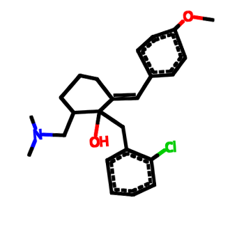 COc1ccc(C=C2CCCC(CN(C)C)C2(O)Cc2ccccc2Cl)cc1